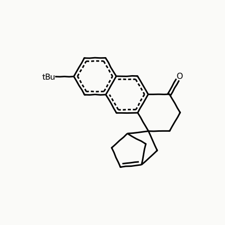 CC(C)(C)c1ccc2cc3c(cc2c1)C1(CCC3=O)CC2=CCC1C2